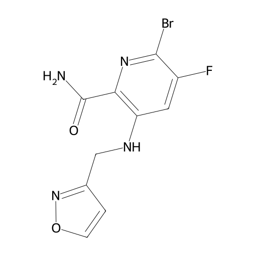 NC(=O)c1nc(Br)c(F)cc1NCc1ccon1